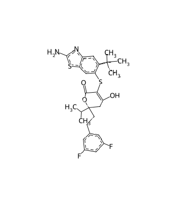 CC(C)C1(CCc2cc(F)cc(F)c2)CC(O)=C(Sc2cc3sc(N)nc3cc2C(C)(C)C)C(=O)O1